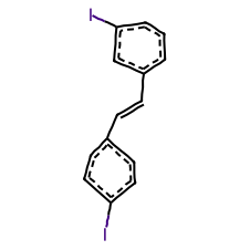 Ic1ccc(C=Cc2cccc(I)c2)cc1